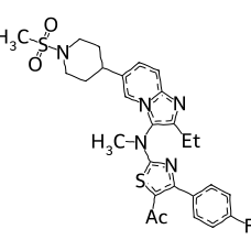 CCc1nc2ccc(C3CCN(S(C)(=O)=O)CC3)cn2c1N(C)c1nc(-c2ccc(F)cc2)c(C(C)=O)s1